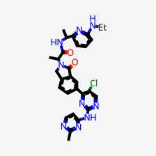 CCNc1cccc(C(C)NC(=O)C(C)N2Cc3ccc(-c4nc(Nc5ccnc(C)n5)ncc4Cl)cc3C2=O)n1